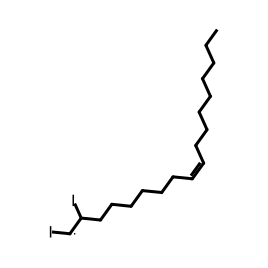 CCCCCCCC/C=C\CCCCCCC(I)[CH]I